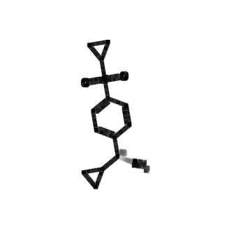 N[C@@H](c1ccc(S(=O)(=O)C2CC2)cc1)C1CC1